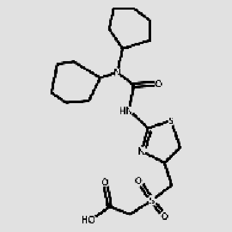 O=C(O)CS(=O)(=O)CC1CSC(NC(=O)N(C2CCCCC2)C2CCCCC2)=N1